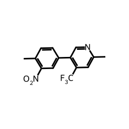 Cc1cc(C(F)(F)F)c(-c2ccc(C)c([N+](=O)[O-])c2)cn1